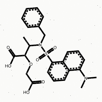 CC(C(OCC(=O)O)C(=O)O)N(Cc1ccccc1)S(=O)(=O)c1cccc2c(N(C)C)cccc12